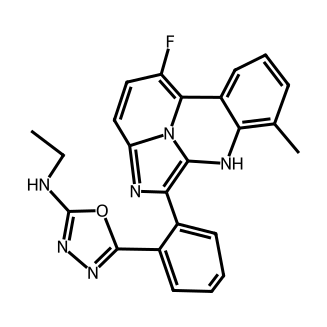 CCNc1nnc(-c2ccccc2-c2nc3ccc(F)c4n3c2Nc2c(C)cccc2-4)o1